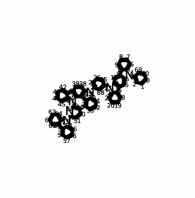 c1ccc(-n2c3ccccc3c3cc4c(cc32)c2ccccc2n4-c2cccc(-n3c4ccccc4c4c3ccc3c5ccccc5n(-c5cccc(-n6c7ccccc7c7ccccc76)n5)c34)c2)cc1